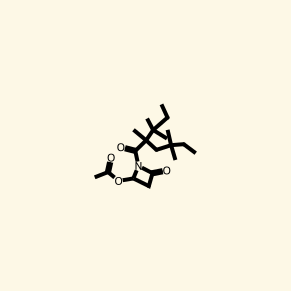 CCC(C)(C)CC(C)(C(=O)N1C(=O)CC1OC(C)=O)C(C)(C)CC